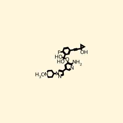 CN1CCC(n2cc(-c3cnc(N)c(OC(O)(O)c4cc(C#CC5(O)CC5)ccc4F)c3)cn2)CC1